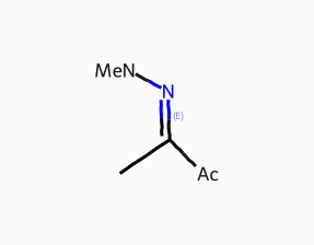 CN/N=C(\C)C(C)=O